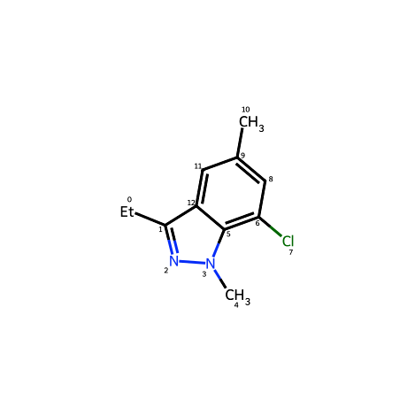 CCc1nn(C)c2c(Cl)cc(C)cc12